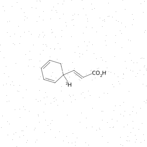 [2H]C1(C=CC(=O)O)C=CC=CC1